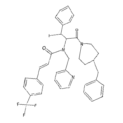 O=C(C(C(I)c1ccccc1)N(Cc1ccccn1)C(=O)C=Cc1ccc(C(F)(F)F)cc1)N1CCC(Cc2ccccc2)CC1